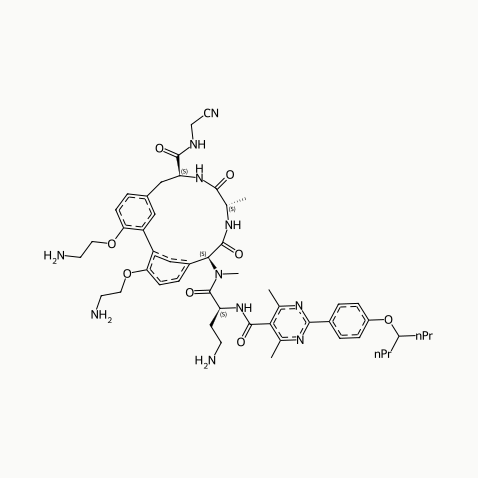 CCCC(CCC)Oc1ccc(-c2nc(C)c(C(=O)N[C@@H](CCN)C(=O)N(C)[C@@H]3C(=O)N[C@@H](C)C(=O)N[C@H](C(=O)NCC#N)Cc4ccc(OCCN)c(c4)-c4cc3ccc4OCCN)c(C)n2)cc1